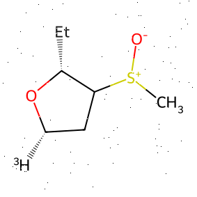 [3H][C@H]1CC([S+](C)[O-])[C@@H](CC)O1